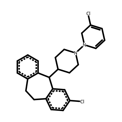 ClC1=CC=CN(N2CCC(C3c4ccccc4CCc4ccc(Cl)cc43)CC2)C1